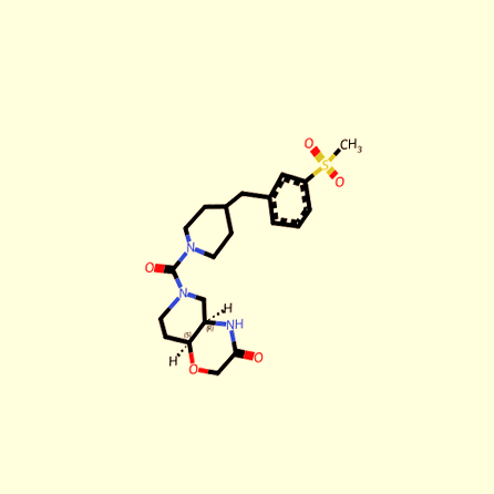 CS(=O)(=O)c1cccc(CC2CCN(C(=O)N3CC[C@@H]4OCC(=O)N[C@@H]4C3)CC2)c1